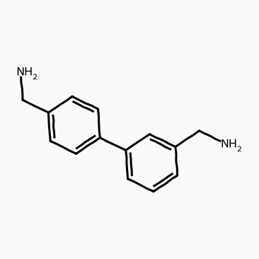 NCc1ccc(-c2cccc(CN)c2)cc1